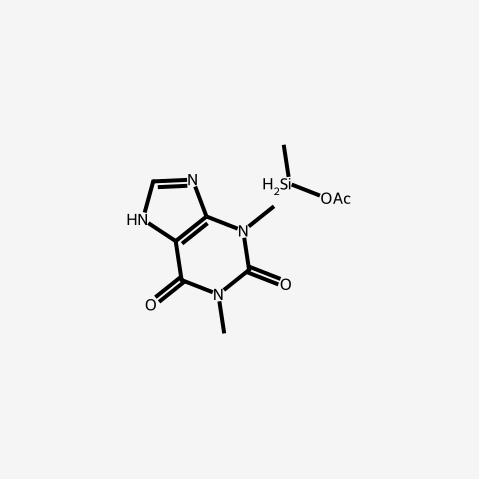 C[SiH2]OC(C)=O.Cn1c(=O)c2[nH]cnc2n(C)c1=O